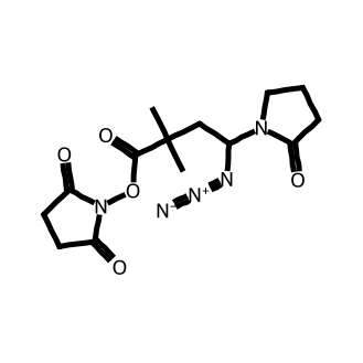 CC(C)(CC(N=[N+]=[N-])N1CCCC1=O)C(=O)ON1C(=O)CCC1=O